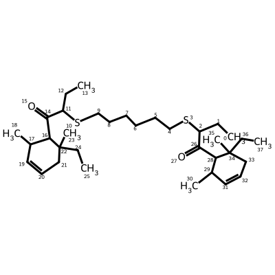 CCC(SCCCCCCSC(CC)C(=O)C1C(C)C=CCC1(C)CC)C(=O)C1C(C)C=CCC1(C)CC